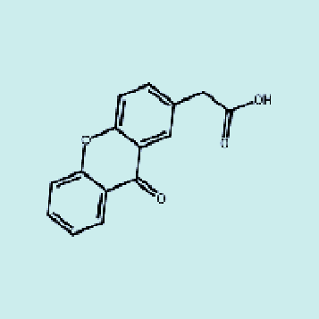 O=C(O)Cc1ccc2oc3ccccc3c(=O)c2c1